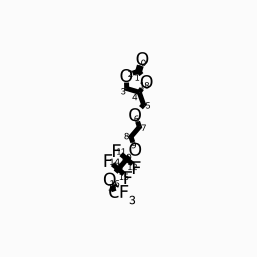 O=C1OCC(COCCOC(F)(F)C(F)(F)OC(F)(F)F)O1